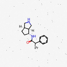 CC(C)C(C(=O)N[C@@H]1CC[C@H]2CNC[C@H]21)c1ccccc1